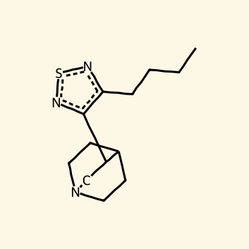 CCCCc1nsnc1C1CN2CCC1CC2